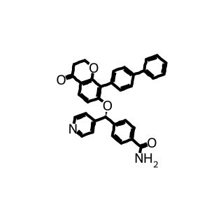 NC(=O)c1ccc([C@@H](Oc2ccc3c(c2-c2ccc(-c4ccccc4)cc2)OCCC3=O)c2ccncc2)cc1